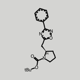 CC(C)(C)OC(=O)N1CCC[C@@H]1Cc1nc(-c2ccccc2)no1